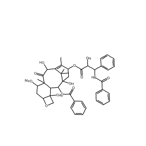 COC1CC2OCC2(OC(C)=O)C2C(OC(=O)c3ccccc3)C3(O)CC(OC(=O)C(O)C(NC(=O)c4ccccc4)c4ccccc4)C(C)=C(C(O)C(=O)C12C)C3(C)C